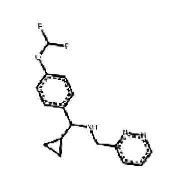 FC(F)Oc1ccc(C(NCc2cccnn2)C2CC2)cc1